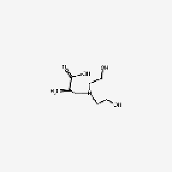 C=C(CN(CCO)CCO)C(=O)O